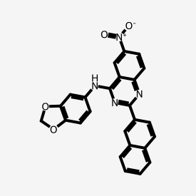 O=[N+]([O-])c1ccc2nc(-c3ccc4ccccc4c3)nc(Nc3ccc4c(c3)OCO4)c2c1